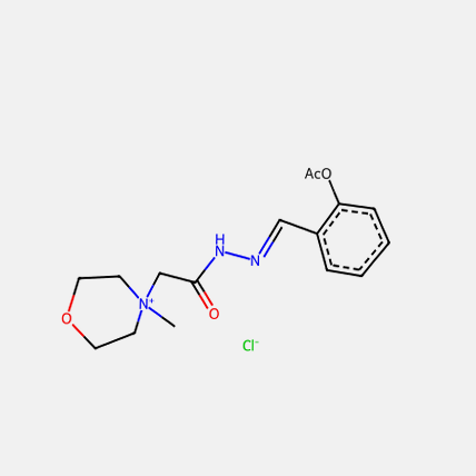 CC(=O)Oc1ccccc1C=NNC(=O)C[N+]1(C)CCOCC1.[Cl-]